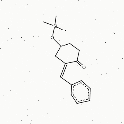 C[Si](C)(C)OC1CCC(=O)/C(=C\c2ccccc2)C1